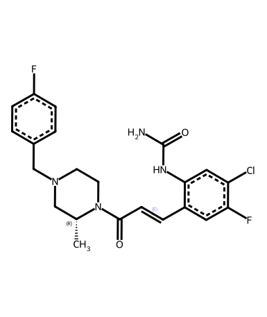 C[C@@H]1CN(Cc2ccc(F)cc2)CCN1C(=O)/C=C/c1cc(F)c(Cl)cc1NC(N)=O